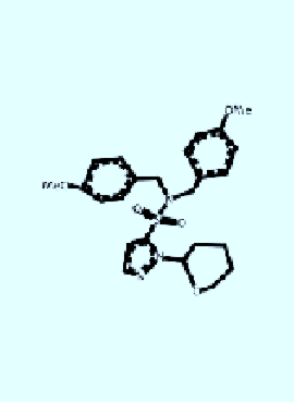 COc1ccc(CN(Cc2ccc(OC)cc2)S(=O)(=O)c2ccnn2C2CCCCO2)cc1